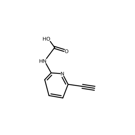 C#Cc1cccc(NC(=O)O)n1